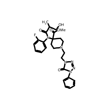 COC(=O)C1(N(C(=O)C(C)CO)c2ccccc2F)CCN(CCn2nnn(-c3ccccc3)c2=O)CC1